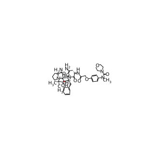 CN(C(=O)N1CCOCC1)c1ccc(OCC(=O)N[C@@H](CC(N)=O)C(=O)N[C@@H](Cc2ccccc2)[C@H](O)C(=O)[N+]2(C(C)(C)C)CCC[C@H]2C(N)=O)cc1